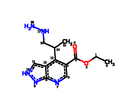 CCOC(=O)c1cnc2n[nH]cc2c1C(C)CNN